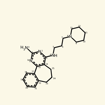 Nc1nc(NCCCN2CCCCC2)c2c(n1)-c1ccccc1CCC2